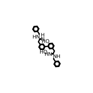 N=C(Cc1ccc(O)c(-c2cc(CC(=N)NCc3ccccc3)ccc2O)c1)NCc1ccccc1